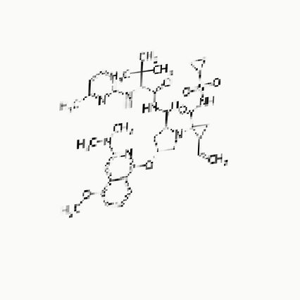 C=C[C@@H]1C[C@@]1(C(=O)NS(=O)(=O)C1CC1)N1C[C@H](Oc2nc(N(C)C)cc3c(OC)cccc23)C[C@H]1C(=O)NC(=O)[C@H](Nc1cccc(C)n1)C(C)(C)C